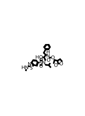 CNc1nc2ccc(S(=O)(=O)N(CC(C)C)CC(O)C(Cc3ccccc3)NC(=O)OC3COC4OCCC34)cc2s1